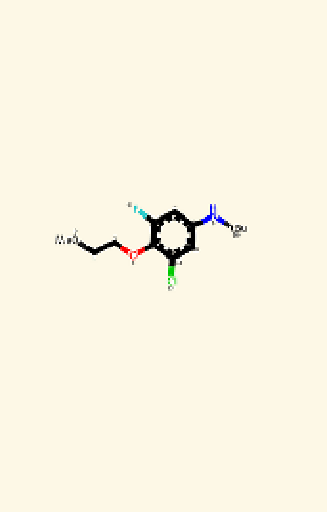 COCCOc1c(F)cc(NC(C)(C)C)cc1Cl